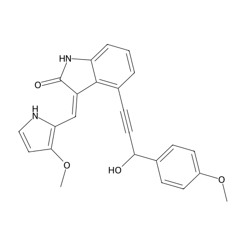 COc1ccc(C(O)C#Cc2cccc3c2C(=Cc2[nH]ccc2OC)C(=O)N3)cc1